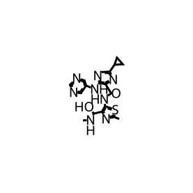 CNC(O)c1nc(C)sc1NC(=O)c1nc(C2CC2)cnc1Nc1cncnc1